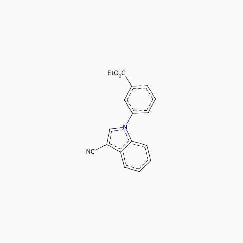 CCOC(=O)c1cccc(-n2cc(C#N)c3ccccc32)c1